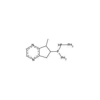 CC1c2nccnc2CC1P(P)PP